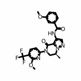 COc1cccc(C(=O)Nc2cnn3c2C(=O)N(c2ccc(C(F)(F)F)c(OC)n2)C[C@@H]3C)c1